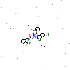 O=C(Cn1nc(-c2ccc(Cl)cc2Cl)c(-c2ccc(Cl)cc2Cl)n1)NCc1ccccc1C(F)(F)F